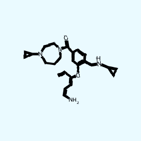 C=C/C(=C\C=C/N)Oc1cc(C(=O)N2CCCN(C3CC3)CC2)ccc1CNC1CC1